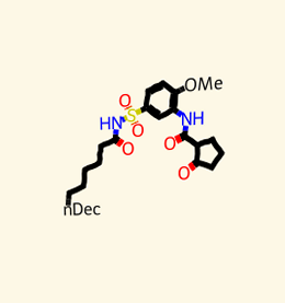 CCCCCCCCCCCCCCCC(=O)NS(=O)(=O)c1ccc(OC)c(NC(=O)C2CCCC2=O)c1